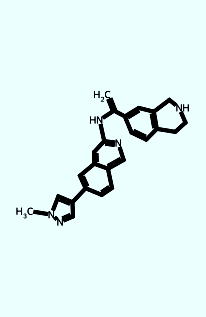 C=C(Nc1cc2cc(-c3cnn(C)c3)ccc2cn1)c1ccc2c(c1)CNCC2